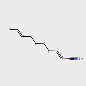 C/C=C/CCCC/C=C/C#N